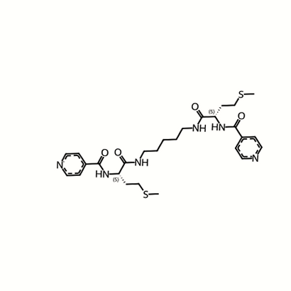 CSCC[C@H](NC(=O)c1ccncc1)C(=O)NCCCCCNC(=O)[C@H](CCSC)NC(=O)c1ccncc1